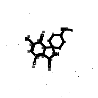 CNC1CCC2(CC1)NC(=O)C1=C(Cl)C=C(Br)C(=O)C12